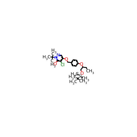 CCC(CO[Si](C)(C)C(C)(C)C)Oc1ccc(COc2cnn(C(C)(C)C)c(=O)c2Cl)cc1